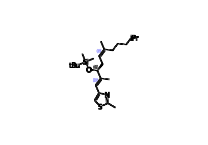 C/C(=C/C[C@H](O[Si](C)(C)C(C)(C)C)/C(C)=C/c1csc(C)n1)CCCC(C)C